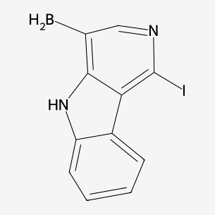 Bc1cnc(I)c2c1[nH]c1ccccc12